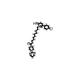 N=c1ccc(-c2ccc(Cl)cc2)nn1CCCCCCCCCCC(=O)N1CCN(c2ncccn2)CC1